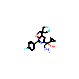 NC[C@](O)(c1cc2c(c(-c3ccc(F)cc3)n1)OCC2(CF)CF)C1CC1